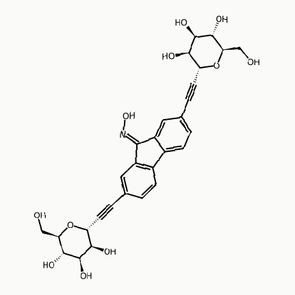 OC[C@H]1O[C@H](C#Cc2ccc3c(c2)C(=NO)c2cc(C#C[C@H]4O[C@H](CO)[C@@H](O)[C@H](O)[C@@H]4O)ccc2-3)[C@@H](O)[C@@H](O)[C@@H]1O